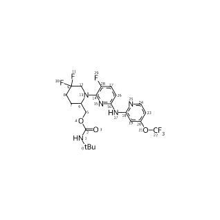 CC(C)(C)NC(=O)OCC1CCC(F)(F)CN1c1nc(Nc2cc(OC(F)(F)F)ccn2)ccc1F